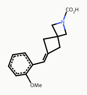 COc1ccccc1C=C1CC2(C1)CN(C(=O)O)C2